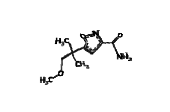 COCC(C)(C)c1cc(C(N)=O)no1